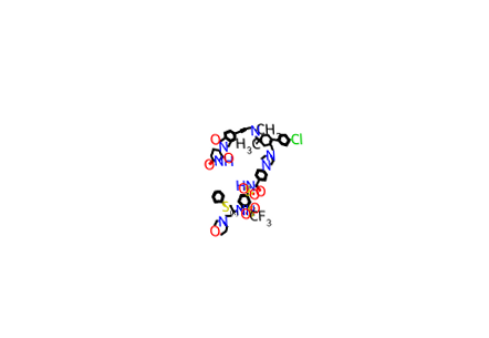 CN(CC#Cc1ccc2c(c1)CN(C1CCC(=O)NC1=O)C2=O)C[C@]1(C)CCC(c2ccc(Cl)cc2)=C(CN2CCN(c3ccc(C(=O)NS(=O)(=O)c4ccc(N[C@H](CCN5CCCOCC5)CSc5ccccc5)c(S(=O)(=O)C(F)(F)F)c4)cc3)CC2)C1